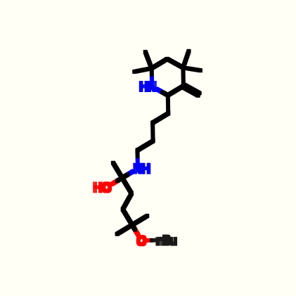 C=C1C(CCCCNC(C)(O)CCC(C)(C)OCCCC)NC(C)(C)CC1(C)C